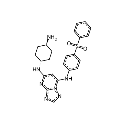 N[C@H]1CC[C@H](Nc2cc(Nc3ccc(S(=O)(=O)c4ccccc4)cc3)n3ncnc3n2)CC1